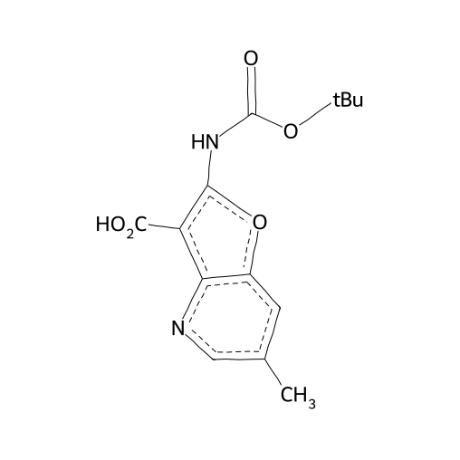 Cc1cnc2c(C(=O)O)c(NC(=O)OC(C)(C)C)oc2c1